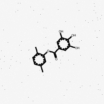 Cc1ccc(C)c(OC(=O)c2cc(O)c(O)c(O)c2)c1